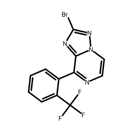 FC(F)(F)c1ccccc1-c1nccn2nc(Br)nc12